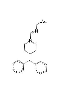 CC(=O)CN=CN1CCC(C(c2ccccc2)c2ccccc2)CC1